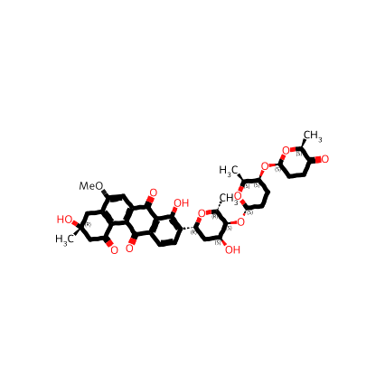 COc1cc2c(c3c1C[C@@](C)(O)CC3=O)C(=O)c1ccc([C@H]3C[C@H](O)[C@H](O[C@H]4CC[C@H](O[C@@H]5CCC(=O)[C@H](C)O5)[C@H](C)O4)[C@@H](C)O3)c(O)c1C2=O